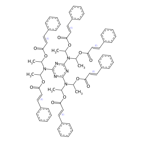 CC(OC(=O)/C=C/c1ccccc1)N(c1nc(N(C(C)OC(=O)/C=C/c2ccccc2)C(C)OC(=O)/C=C/c2ccccc2)nc(N(C(C)OC(=O)/C=C/c2ccccc2)C(C)OC(=O)/C=C/c2ccccc2)n1)C(C)OC(=O)/C=C/c1ccccc1